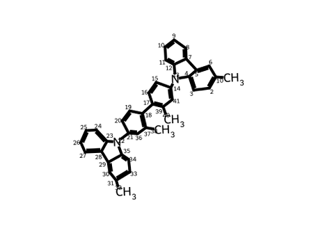 Cc1ccc2c(c1)c1ccccc1n2-c1ccc(-c2ccc(-n3c4ccccc4c4cc(C)ccc43)cc2C)c(C)c1